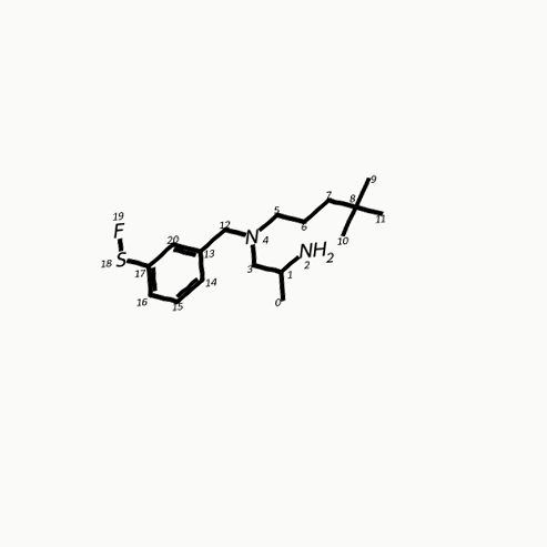 CC(N)CN(CCCC(C)(C)C)Cc1cccc(SF)c1